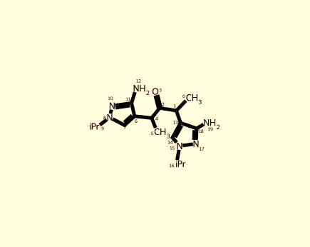 CC(C(=O)C(C)c1cn(C(C)C)nc1N)c1cn(C(C)C)nc1N